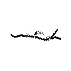 CCCCCC#CCCCOC(=O)CCCCCCCN(CCCO)CCCCCCCC(=O)OC(CCCCCCCC)CCCCCCCC